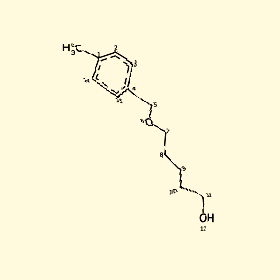 Cc1ccc(COCCCCCO)cc1